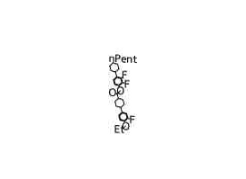 CCCCCC1CCC(c2ccc(OC(=O)C3CCC(c4ccc(OCC)c(F)c4)CC3)c(F)c2F)CC1